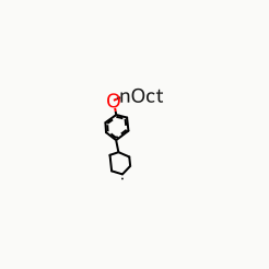 CCCCCCCCOc1ccc(C2CC[CH]CC2)cc1